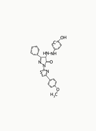 COc1ccc(-c2csc(N3N=C(c4ccccc4)C(NNc4ccc(O)cc4)C3=O)n2)cc1